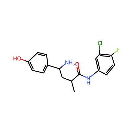 CC(CC(N)c1ccc(O)cc1)C(=O)Nc1ccc(F)c(Cl)c1